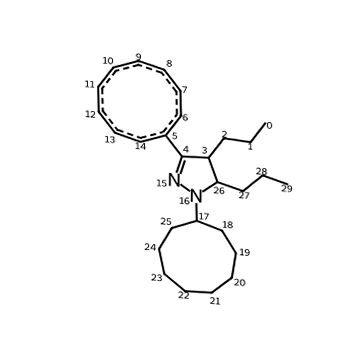 CCCC1C(c2ccccccccc2)=NN(C2CCCCCCCC2)C1CCC